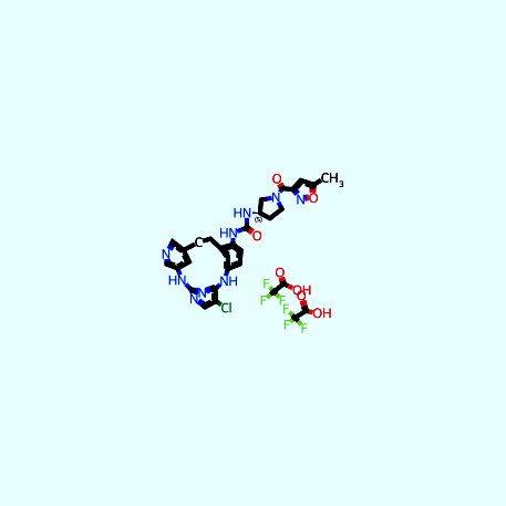 Cc1cc(C(=O)N2CC[C@H](NC(=O)Nc3ccc4cc3CCc3cncc(c3)Nc3ncc(Cl)c(n3)N4)C2)no1.O=C(O)C(F)(F)F.O=C(O)C(F)(F)F